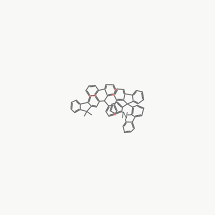 CC1(C)c2ccccc2-c2ccc(C(c3ccccc3-c3ccccc3)c3ccccc3-c3cccc4c3C3(c5ccccc5-4)c4ccccc4-n4c5ccccc5c5cccc3c54)cc21